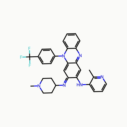 Cc1ncccc1Nc1cc2nc3ccccc3n(-c3ccc(C(F)(F)F)cc3)c-2c/c1=N\C1CCN(C)CC1